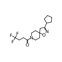 O=C(CCC(F)(F)F)N1CCC2(CC1)CC(C1CCCC1)=NO2